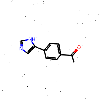 CC(=O)c1ccc(-c2cn[c][nH]2)cc1